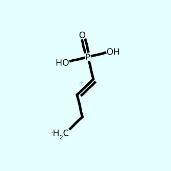 [CH2]C/C=C/P(=O)(O)O